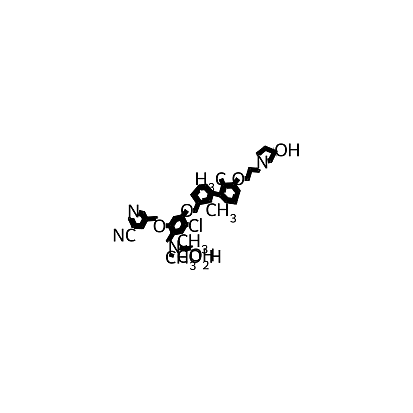 Cc1c(COc2cc(OCc3cncc(C#N)c3)c(CN(C)[C@@](C)(CO)C(=O)O)cc2Cl)cccc1-c1cccc(OCCCN2CC[C@@H](O)C2)c1C